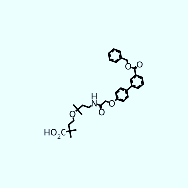 CC(C)(CCNC(=O)COc1ccc(-c2cccc(C(=O)OCc3ccccc3)c2)cc1)OCCC(C)(C)C(=O)O